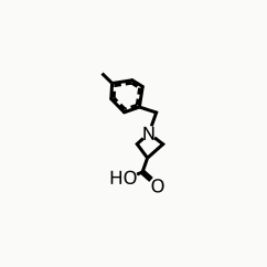 Cc1ccc(CN2CC(C(=O)O)C2)cc1